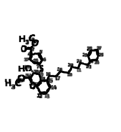 COC(=O)c1ccc(S[C@H](c2ccccc2CCCCCCCCc2ccccc2)[C@@H](O)C(=O)OC)cc1